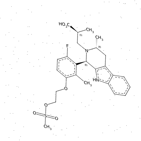 Cc1c(OCCOS(C)(=O)=O)ccc(F)c1[C@@H]1c2[nH]c3ccccc3c2C[C@@H](C)N1C[C@H](C)C(=O)O